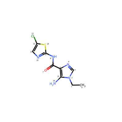 CCn1cnc(C(=O)Nc2ncc(Cl)s2)c1N